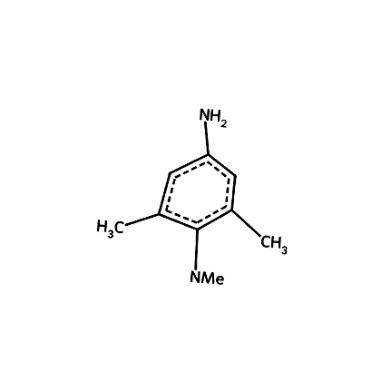 CNc1c(C)cc(N)cc1C